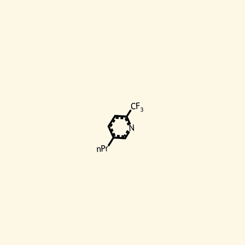 [CH2]CCc1ccc(C(F)(F)F)nc1